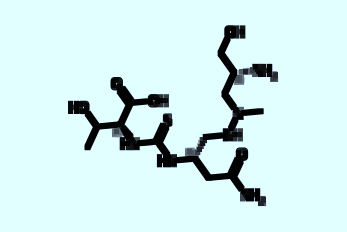 CC(O)[C@H](NC(=S)N[C@H](CNN(C)C[C@@H](N)CO)CC(N)=O)C(=O)O